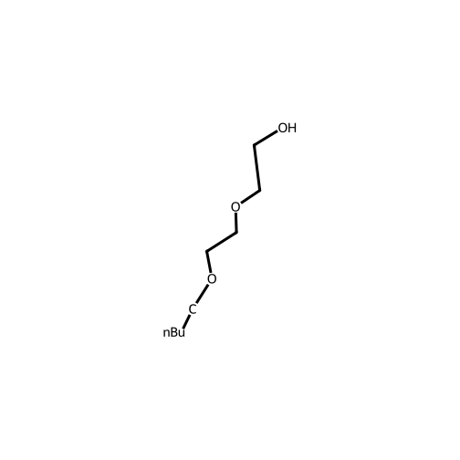 C[CH]CCCOCCOCCO